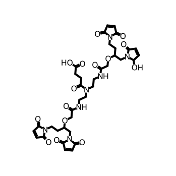 O=C(O)CCC(=O)N(CCNC(=O)COC(CCN1C(=O)C=CC1=O)CN1C(=O)C=CC1=O)CCNC(=O)COC(CCN1C(=O)C=CC1=O)CN1C(=O)C=CC1O